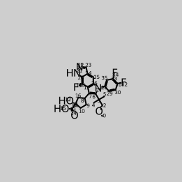 COCC(C)(C)c1c(C2CC[C@@](O)(C(=O)O)C2)c2c(F)c3[nH]ncc3cc2n1-c1ccc(F)c(F)c1